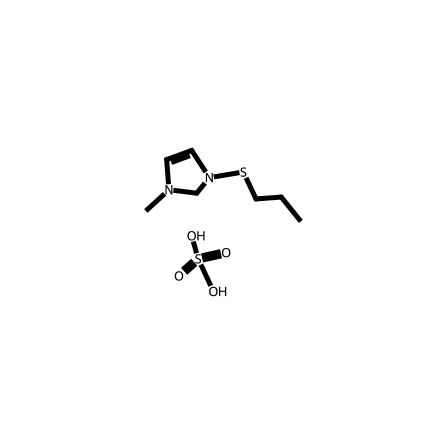 CCCSN1C=CN(C)C1.O=S(=O)(O)O